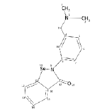 CN(C)Cc1cccc(-n2[se]c3ccccc3c2=O)c1